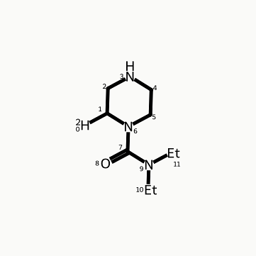 [2H]C1CNCCN1C(=O)N(CC)CC